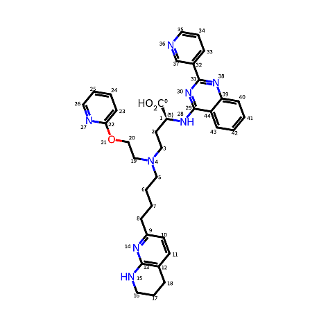 O=C(O)[C@H](CCN(CCCCc1ccc2c(n1)NCCC2)CCOc1ccccn1)Nc1nc(-c2cccnc2)nc2ccccc12